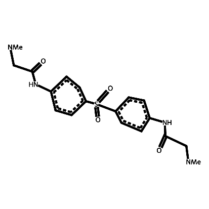 CNCC(=O)Nc1ccc(S(=O)(=O)c2ccc(NC(=O)CNC)cc2)cc1